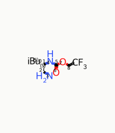 CC[C@H](C)[C@@H](CN)NC(=O)OCC(F)(F)F